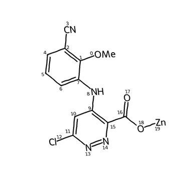 COc1c(C#N)cccc1Nc1cc(Cl)nnc1C(=O)[O][Zn]